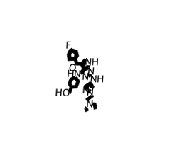 CCN(CC)CCn1cc(Nc2nc(NC3CCC(CO)CC3)c3c(C(=O)c4ccc(F)cc4)c[nH]c3n2)cn1